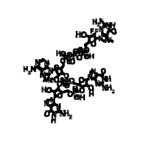 COC1C(OP([O-])(=S)OCC2OC(n3cnc4c(=O)[nH]c(N)nc43)C(O)C2OP(=O)(O)OCC2OC(n3cnc4c(=O)[nH]c(N)nc43)C(O)C2O)C(COP(=O)(O)OP(=O)(O)OP(=O)(O)OCC2OC(n3c[n+](C)c4c(=O)[nH]c(N)nc43)C(F)(F)C2O)OC1n1cnc2c(N)ncnc21